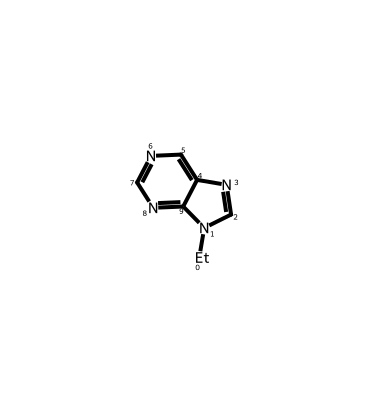 CCn1cnc2cncnc21